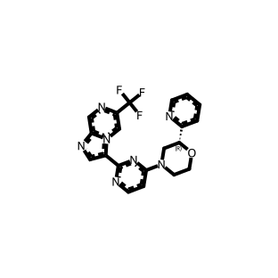 FC(F)(F)c1cn2c(-c3nccc(N4CCO[C@@H](c5ccccn5)C4)n3)cnc2cn1